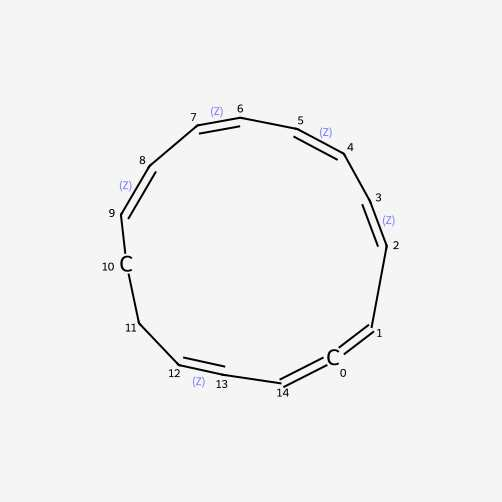 C1=C\C=C/C=C\C=C/C=C\CC/C=C\C=1